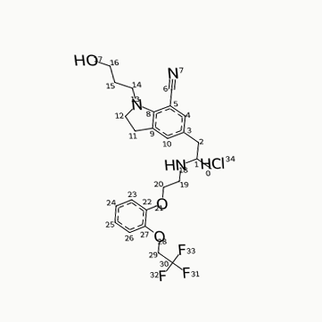 CC(Cc1cc(C#N)c2c(c1)CCN2CCCO)NCCOc1ccccc1OCC(F)(F)F.Cl